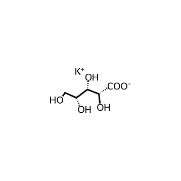 O=C([O-])[C@H](O)[C@@H](O)[C@H](O)CO.[K+]